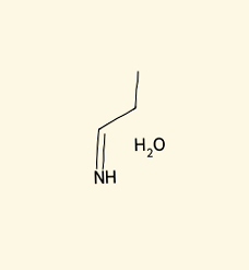 CCC=N.O